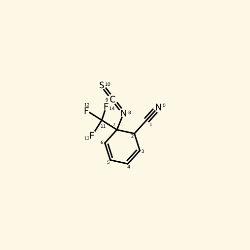 N#CC1C=CC=CC1(N=C=S)C(F)(F)F